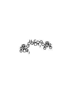 CC(N1C(=O)C=CC1=O)N1C(=O)c2ccc(Oc3ccc(C(C)(C)c4ccc(Oc5ccc6c(c5)C(=O)N(CN5C(=O)C=CC5=O)C6=O)cc4)cc3)cc2C1=O